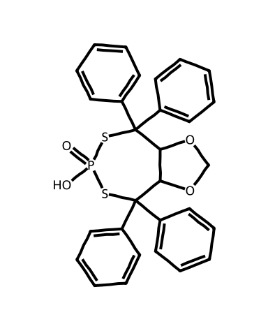 O=P1(O)SC(c2ccccc2)(c2ccccc2)C2OCOC2C(c2ccccc2)(c2ccccc2)S1